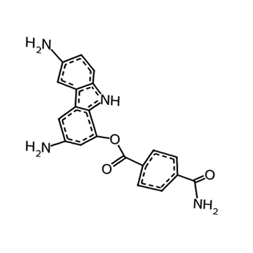 NC(=O)c1ccc(C(=O)Oc2cc(N)cc3c2[nH]c2ccc(N)cc23)cc1